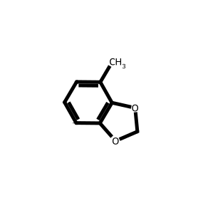 Cc1cc[c]c2c1OCO2